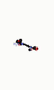 CC1(C)OCc2cc(C(CNCCCCCCCCCN3CCC(C(C(N)=O)(c4ccccc4)c4ccccc4)C3)O[Si](C)(C)C(C)(C)C)ccc2O1